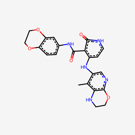 Cc1c(Nc2cc[nH]c(=O)c2C(=O)Nc2ccc3c(c2)OCCO3)cnc2c1NCCO2